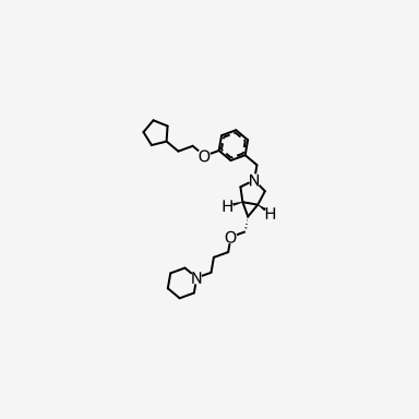 c1cc(CN2C[C@@H]3[C@H](COCCCN4CCCCC4)[C@@H]3C2)cc(OCCC2CCCC2)c1